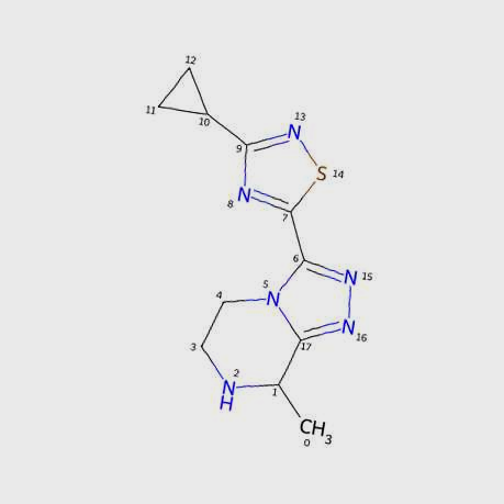 CC1NCCn2c(-c3nc(C4CC4)ns3)nnc21